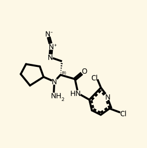 [N-]=[N+]=NC[C@H](C(=O)Nc1ccc(Cl)nc1Cl)N(N)C1CCCC1